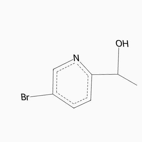 CC(O)c1ccc(Br)cn1